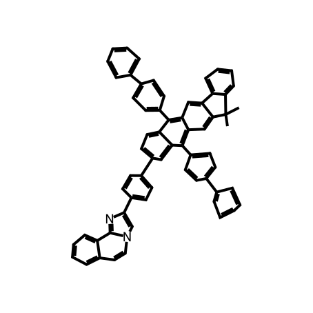 CC1(C)c2ccccc2-c2cc3c(-c4ccc(-c5ccccc5)cc4)c4ccc(-c5ccc(-c6cn7ccc8ccccc8c7n6)cc5)cc4c(-c4ccc(-c5ccccc5)cc4)c3cc21